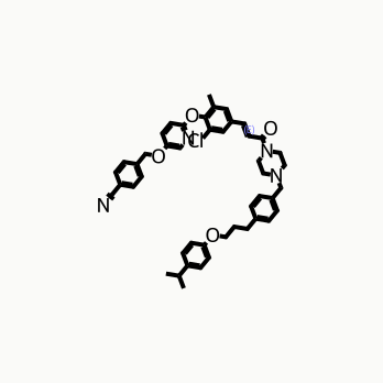 Cc1cc(/C=C/C(=O)N2CCN(Cc3ccc(CCCOc4ccc(C(C)C)cc4)cc3)CC2)cc(Cl)c1Oc1ccc(OCc2ccc(C#N)cc2)cn1